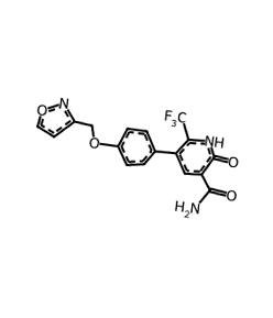 NC(=O)c1cc(-c2ccc(OCc3ccon3)cc2)c(C(F)(F)F)[nH]c1=O